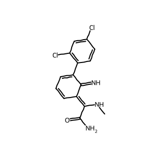 CN/C(C(N)=O)=C1/C=CC=C(c2ccc(Cl)cc2Cl)C1=N